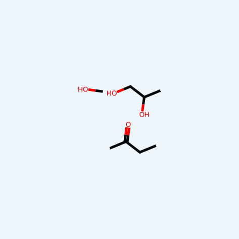 CC(O)CO.CCC(C)=O.CO